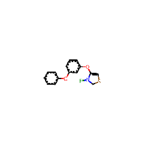 FN1CSC=C1Oc1cccc(Oc2ccccc2)c1